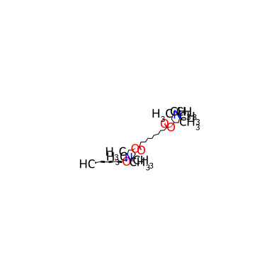 C#CC#CC#CC#CON1C(C)(C)CC(OC(=O)CCCCCCCCC(=O)OC2CC(C)(C)N(C)C(C)(C)C2)CC1(C)C